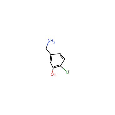 NCc1ccc(Cl)c(O)c1